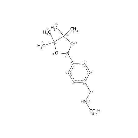 CC1(C)OB(c2ccc(CNC(=O)O)cc2)OC1(C)C